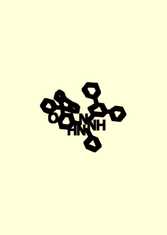 c1ccc(-c2cc(-c3ccccc3)cc(C3N=C(c4ccc5c(c4)C4(c6ccccc6O5)c5ccccc5-c5ccccc54)NC(c4ccccc4)N3)c2)cc1